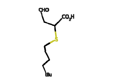 CC(C)(C)CCCSC(CC=O)C(=O)O